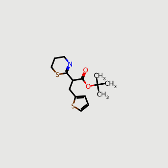 CC(C)(C)OC(=O)C(Cc1cccs1)C1=NCCCS1